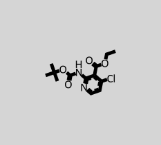 CCOC(=O)c1c(Cl)ccnc1NC(=O)OC(C)(C)C